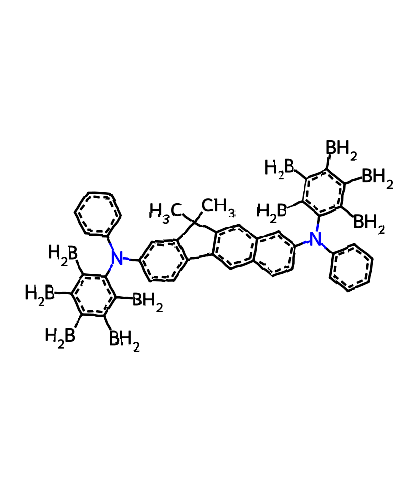 Bc1c(B)c(B)c(N(c2ccccc2)c2ccc3c(c2)C(C)(C)c2cc4cc(N(c5ccccc5)c5c(B)c(B)c(B)c(B)c5B)ccc4cc2-3)c(B)c1B